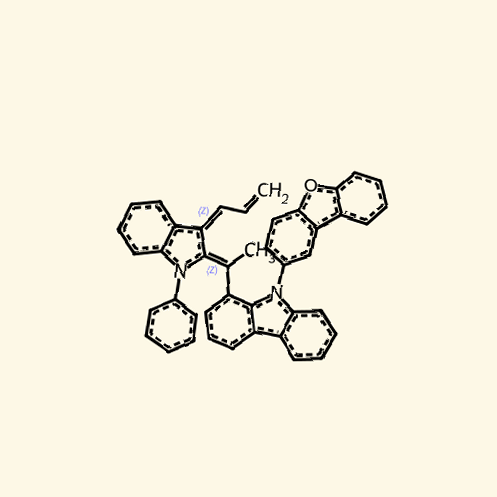 C=C/C=c1\c(=C(/C)c2cccc3c4ccccc4n(-c4ccc5oc6ccccc6c5c4)c23)n(-c2ccccc2)c2ccccc12